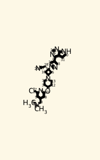 CN(C)Cc1cc(Cl)nc(OC2CCN([C@H]3C[C@@](CC#N)(n4cc(-c5ncnc6[nH]ccc56)cn4)C3)CC2)c1